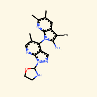 Cc1cc2c(C#N)c(N)n(-c3c(C)cnc4c3cnn4C3NCCO3)c2nc1C